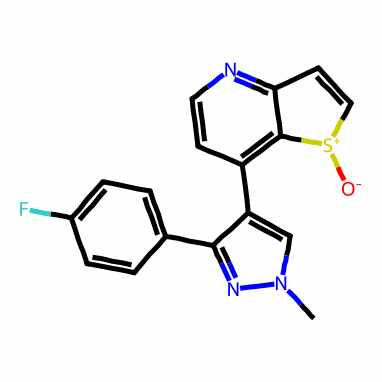 Cn1cc(-c2ccnc3cc[s+]([O-])c23)c(-c2ccc(F)cc2)n1